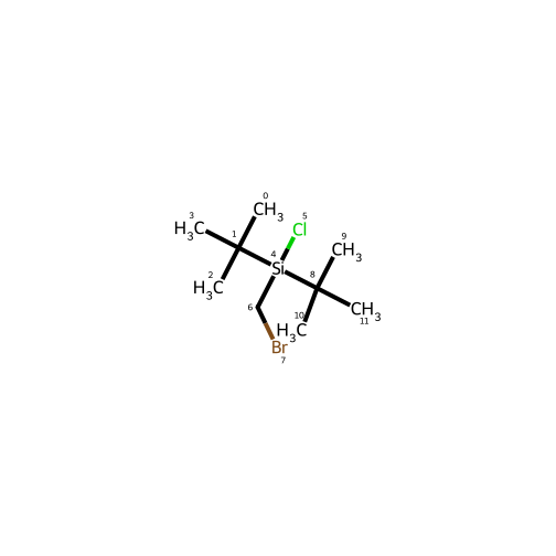 CC(C)(C)[Si](Cl)(CBr)C(C)(C)C